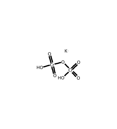 [K].[O]=[Cr](=[O])([OH])[O][Cr](=[O])(=[O])[OH]